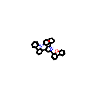 c1ccc(-c2cc(-c3cccc4c5ccccc5n(-c5ccccc5)c34)cc(-c3cccc4c3oc3ccccc34)n2)cc1